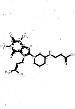 CC(C)=CCn1c(N2CCCC(NCCC(=O)O)C2)nc2c1c(=O)n(C)c(=O)n2C